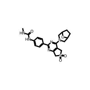 CNC(=O)Nc1ccc(-c2nc3c(c(N4CC5CCC(C4)O5)n2)CS(=O)(=O)C3)cc1